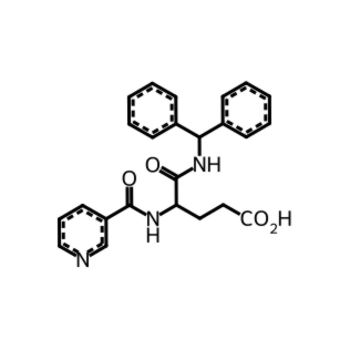 O=C(O)CCC(NC(=O)c1cccnc1)C(=O)NC(c1ccccc1)c1ccccc1